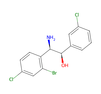 N[C@H](c1ccc(Cl)cc1Br)[C@H](O)c1cccc(Cl)c1